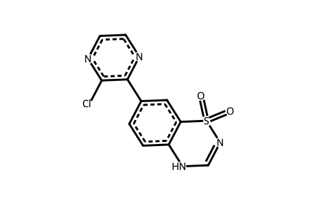 O=S1(=O)N=CNc2ccc(-c3nccnc3Cl)cc21